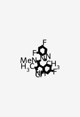 CN/C(=C(\C(C)=N)c1ccc(F)cc1Cl)n1c(C)nc2cc(F)cc(F)c21